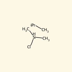 C[C](C)C.C[SiH](C)Cl